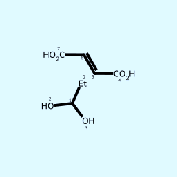 CCC(O)O.O=C(O)C=CC(=O)O